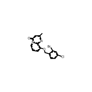 Cc1cc(=O)n2cccc(OCc3ccc(Cl)cc3Br)c2n1